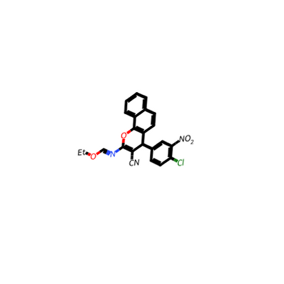 CCOC=NC1=C(C#N)C(c2ccc(Cl)c([N+](=O)[O-])c2)c2ccc3ccccc3c2O1